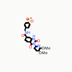 COc1ccc(-n2c(=O)[nH]c3cc(C(=O)NCc4ccc(S(C)(=O)=O)cc4)ccc3c2=O)nc1OC